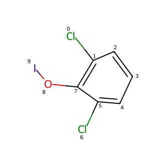 Clc1cccc(Cl)c1OI